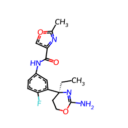 CC[C@@]1(c2cc(NC(=O)c3coc(C)n3)ccc2F)CCOC(N)=N1